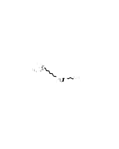 CO[Si](CCCC(=O)CC(O)CSN1NC=C(SCCCN)S1)(OC)OC